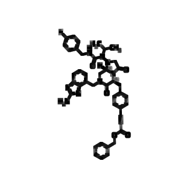 CC(C)N(C(=O)NCc1ccc(F)cc1)N1CC(=O)N2[C@@H](Cc3ccc(C#CC(=O)OCc4ccccc4)cc3)C(=O)N(Cc3cccc4sc(N)nc34)C[C@@H]21